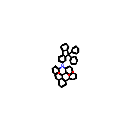 c1ccc(-c2cccc3cccc(-c4ccccc4N(c4ccccc4)c4ccc5c(c4)C(c4ccccc4)(c4ccccc4)c4ccccc4-5)c23)cc1